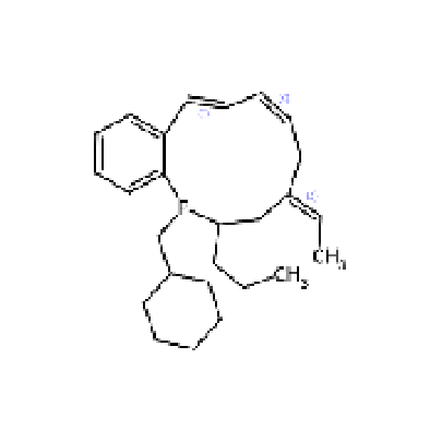 C/C=C1/C/C=C\C=C\c2ccccc2P(CC2CCCCC2)C(CCC)C1